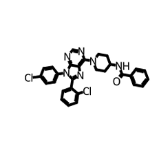 O=C(NC1CCN(c2ncnc3c2nc(-c2ccccc2Cl)n3-c2ccc(Cl)cc2)CC1)c1ccccc1